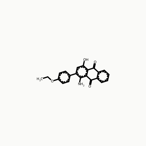 CCOc1ccc(-c2cc(O)c3c(c2N)C(=O)c2ccccc2C3=O)cc1